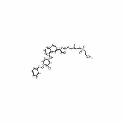 CCCS(=O)(=O)CCNCCc1nc(-c2ccc3ncnc(Nc4ccc(OCc5cccc(F)c5)c(Cl)c4)c3c2)cs1